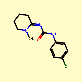 CN1CCCC/C1=N/C(=O)Nc1ccc(Cl)cc1